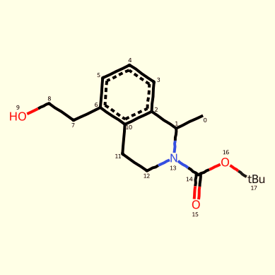 CC1c2cccc(CCO)c2CCN1C(=O)OC(C)(C)C